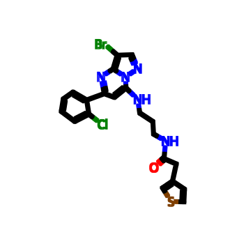 O=C(Cc1ccsc1)NCCCNc1cc(-c2ccccc2Cl)nc2c(Br)cnn12